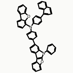 c1ccc(-n2c3cc(-c4ccc(N(c5ccc(-c6cccc7ccccc67)cc5)c5cccc6c5oc5ccccc56)cc4)ccc3c3c4ccccc4oc32)cc1